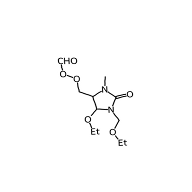 CCOCN1C(=O)N(C)C(COOC=O)C1OCC